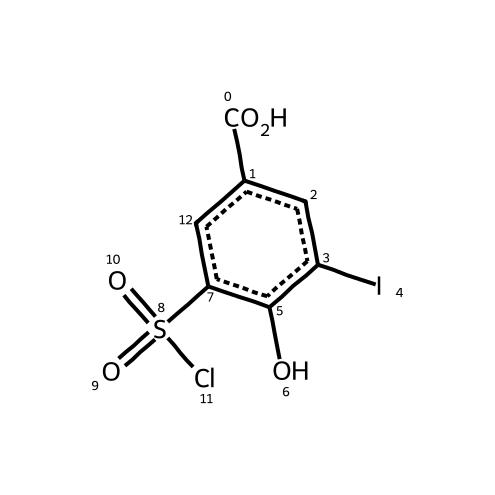 O=C(O)c1cc(I)c(O)c(S(=O)(=O)Cl)c1